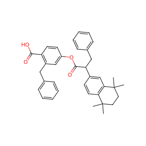 CC1(C)CCC(C)(C)c2cc(C(Cc3ccccc3)C(=O)Oc3ccc(C(=O)O)c(Cc4ccccc4)c3)ccc21